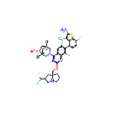 N#Cc1c(N)sc2c(F)ccc(-c3c(Cl)cc4c(N5C[C@@H]6C[C@H](C5)[C@H](O)C6)nc(OCC56CCCN5CC(=C(F)F)C6)nc4c3F)c12